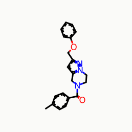 Cc1ccc(C(=O)N2CCn3nc(COc4ccccc4)cc3C2)cc1